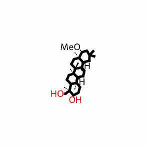 CO[C@@H]1CC(C)(C)C[C@@H]2C3=CC[C@@H]4[C@@]5(C)CC[C@H](O)[C@@](C)(CO)C5CC[C@@]4(C)[C@]3(C)CC[C@]21C